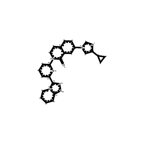 O=c1c2cc(-n3cnc(C4CC4)c3)ccc2ccn1-c1cccc(-c2nnc3ccccn23)n1